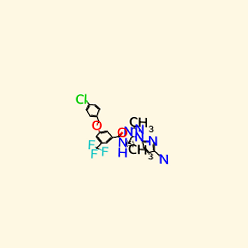 Cc1nc([C@H](C)NC(=O)c2cc(OCc3ccc(Cl)cc3)cc(C(F)(F)F)c2)n(-c2ccc(C#N)cn2)n1